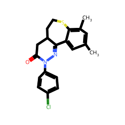 Cc1cc(C)c2c(c1)C1=NN(c3ccc(Cl)cc3)C(=O)CC1CCS2